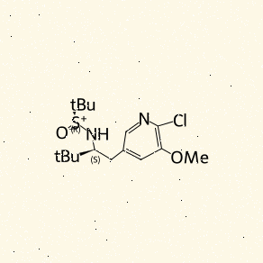 COc1cc(C[C@H](N[S@@+]([O-])C(C)(C)C)C(C)(C)C)cnc1Cl